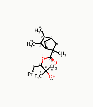 CC(C)CC(OC(=O)C1(C)CC2CC1C(C)C2C)C(O)(C(F)(F)F)C(F)(F)F